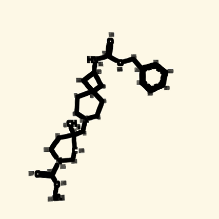 CC1(CN2CCC3(CC2)CC(NC(=O)OCc2ccccc2)C3)CCN(C(=O)OC(C)(C)C)CC1